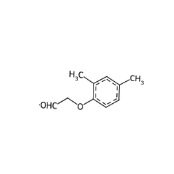 Cc1ccc(OC[C]=O)c(C)c1